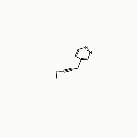 CCC#CCc1ccnnc1